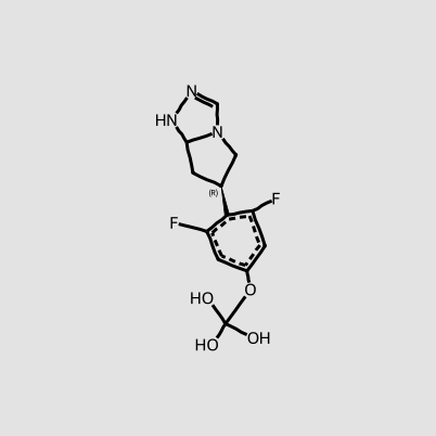 OC(O)(O)Oc1cc(F)c([C@H]2CC3NN=CN3C2)c(F)c1